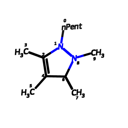 CCCCCN1C(C)=C(C)C(C)N1C